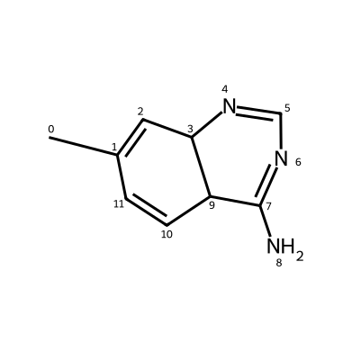 CC1=CC2N=CN=C(N)C2C=C1